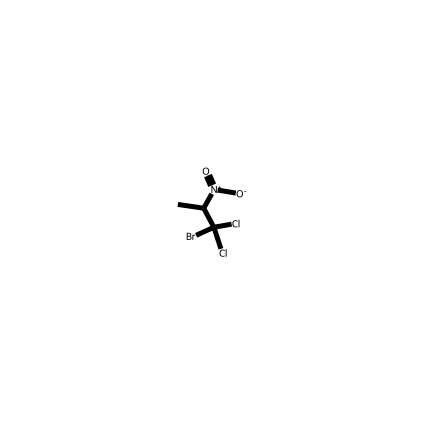 CC([N+](=O)[O-])C(Cl)(Cl)Br